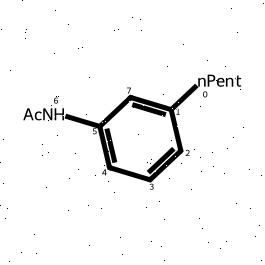 [CH2]CCCCc1cccc(NC(C)=O)c1